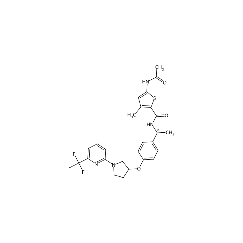 CC(=O)Nc1cc(C)c(C(=O)N[C@@H](C)c2ccc(OC3CCN(c4cccc(C(F)(F)F)n4)C3)cc2)s1